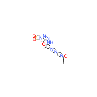 CC#CC(=O)N1CCC(N2CCN(c3cc(C)c4c(c3)Nc3ncnc(N5CCS(=O)(=O)CC5)c3[C@@H](C)O4)CC2)CC1